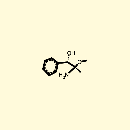 CO[C@](C)(N)[C@@H](O)c1ccccc1